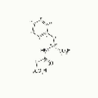 O=C(O)CC(=O)N[C@H](Cc1ccccc1)C(=O)O